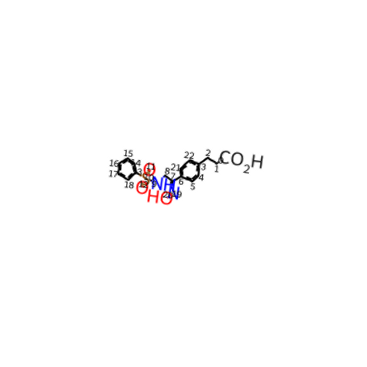 O=C(O)CCc1ccc(C(CNS(=O)(=O)c2ccccc2)=NO)cc1